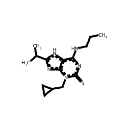 CCCNc1nc(=S)n(CC2CC2)c2nc(C(C)C)[nH]c12